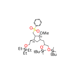 CC[Si](CC)(CC)OCC[C@@H]1CC(CC(CO[Si](C)(C)C(C)(C)C)O[Si](C)(C)C(C)(C)C)[C@H](OC)C1CS(=O)(=O)c1ccccc1